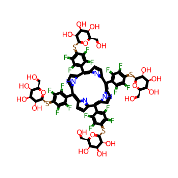 OC[C@H]1O[C@@H](Sc2c(F)c(F)c(-c3c4nc(c(-c5c(F)c(F)c(S[C@@H]6O[C@H](CO)[C@@H](O)[C@H](O)[C@H]6O)c(F)c5F)c5ccc([nH]5)c(-c5c(F)c(F)c(S[C@@H]6O[C@H](CO)[C@@H](O)[C@H](O)[C@H]6O)c(F)c5F)c5nc(c(-c6c(F)c(F)c(S[C@@H]7O[C@H](CO)[C@@H](O)[C@H](O)[C@H]7O)c(F)c6F)c6ccc3[nH]6)C=C5)C=C4)c(F)c2F)[C@H](O)[C@@H](O)[C@@H]1O